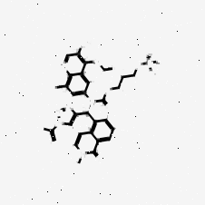 C=C(CC)n1cc([C@H](c2cccc3c(=O)n(C)ccc23)N(C(=O)OCCCOP(=O)(O)O)c2cc(Cl)c3ncc(C#N)c(NCC(C)(C)C)c3c2)nn1